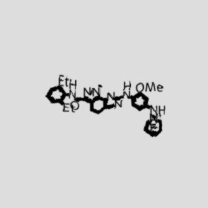 CCc1cccc(CC)c1NC(=O)c1nn(C)c2c1CCc1cnc(Nc3ccc(N[N+]45CCC(CC4)CC5)cc3OC)nc1-2